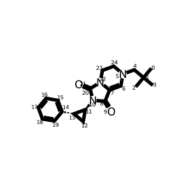 CC(C)(C)CN1C=C2C(=O)N([C@H]3C[C@@H]3c3ccccc3)C(=O)N2CC1